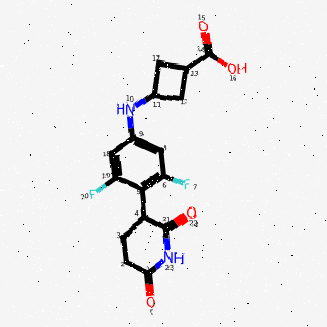 O=C1CCC(c2c(F)cc(NC3CC(C(=O)O)C3)cc2F)C(=O)N1